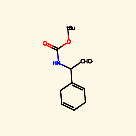 CC(C)(C)OC(=O)NC([C]=O)C1=CCC=CC1